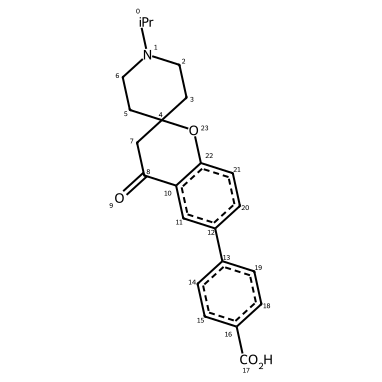 CC(C)N1CCC2(CC1)CC(=O)c1cc(-c3ccc(C(=O)O)cc3)ccc1O2